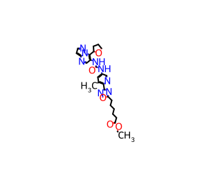 CCOC(=O)CCCCCc1nc(-c2ncc(NC(=O)Nc3cnc4ccnn4c3C3CCCO3)cc2C)no1